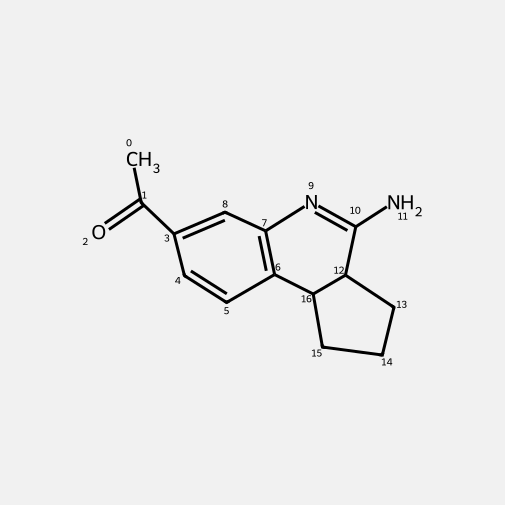 CC(=O)c1ccc2c(c1)N=C(N)C1CCCC21